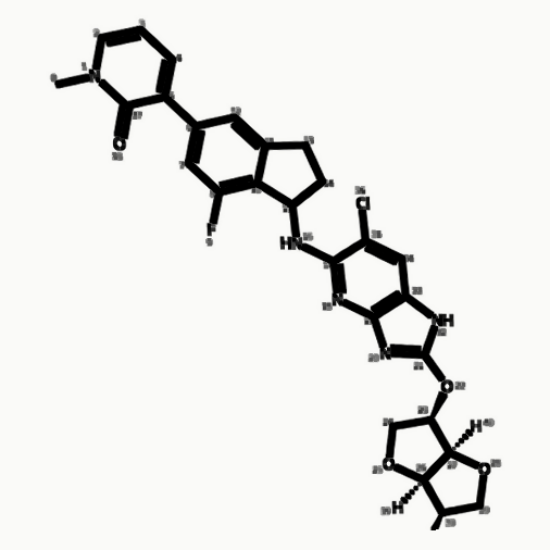 Cn1cccc(-c2cc(F)c3c(c2)CCC3Nc2nc3nc(O[C@@H]4CO[C@H]5[C@@H]4OC[C@H]5O)[nH]c3cc2Cl)c1=O